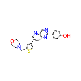 Oc1ccc(-c2ncc3ncc(-c4csc(CN5CCOCC5)c4)cc3n2)cc1